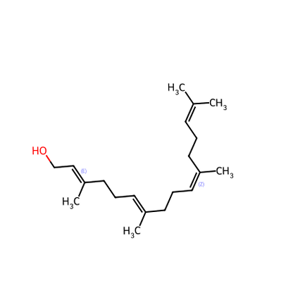 CC(C)=CCC/C(C)=C\CCC(C)=CCC/C(C)=C/CO